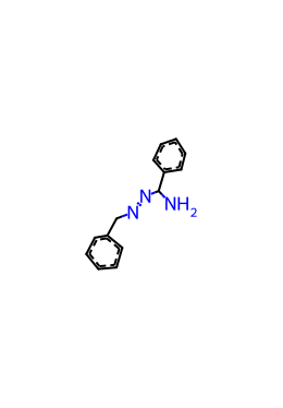 NC(N=NCc1ccccc1)c1ccccc1